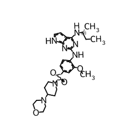 CC[C@@H](C)Nc1nc(Nc2ccc(S(=O)(=O)N3CCC(N4CCOCC4)CC3)cc2OC)nc2[nH]ccc12